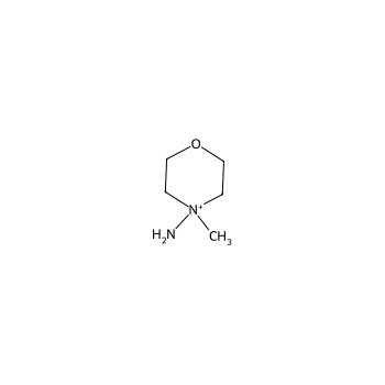 C[N+]1(N)CCOCC1